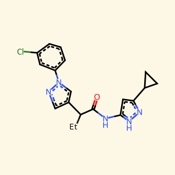 CCC(C(=O)Nc1cc(C2CC2)n[nH]1)c1cnn(-c2cccc(Cl)c2)c1